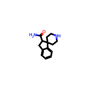 NC(=O)C1[CH]c2ccccc2C12CCNCC2